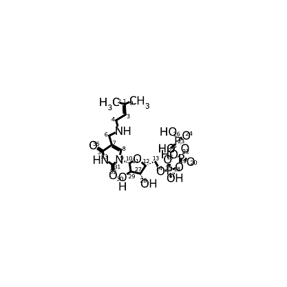 CC(C)=CCNCc1cn([C@@H]2O[C@H](COP(=O)(O)OP(=O)(O)OP(=O)(O)O)[C@H](O)C2O)c(=O)[nH]c1=O